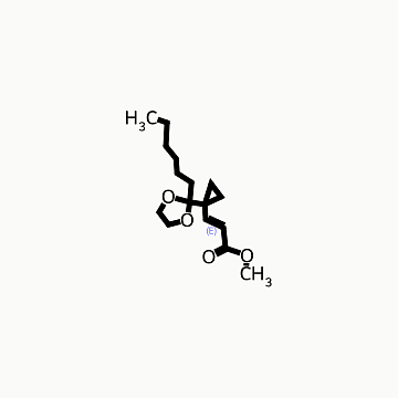 CCCCCCC1(C2(/C=C/C(=O)OC)CC2)OCCO1